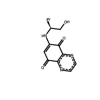 CC(C)[C@@H](CO)NC1=CC(=O)c2nccnc2C1=O